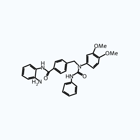 COc1ccc(N(Cc2ccc(C(=O)Nc3ccccc3N)cc2)C(=O)Nc2ccccc2)cc1OC